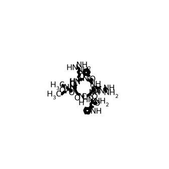 CCCC[C@H](NC(C)=O)C(=O)N[C@H]1CCC(=O)NCC[C@@H](C(=O)N[C@@](C=O)(CN)Cc2c[nH]c3ccccc23)NC(=O)[C@H](CCCNC(=N)N)NC(=O)[C@@H](Cc2ccccc2)NC(=O)[C@H](CCCNC(=N)N)NC1=O